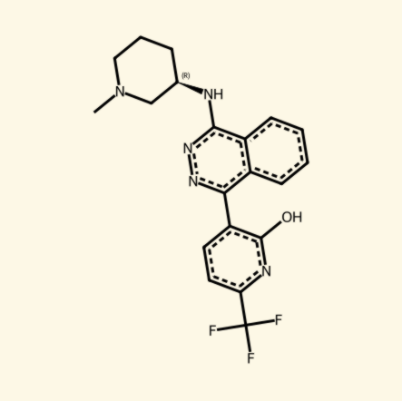 CN1CCC[C@@H](Nc2nnc(-c3ccc(C(F)(F)F)nc3O)c3ccccc23)C1